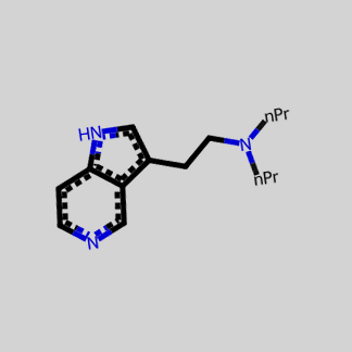 CCCN(CCC)CCc1c[nH]c2ccncc12